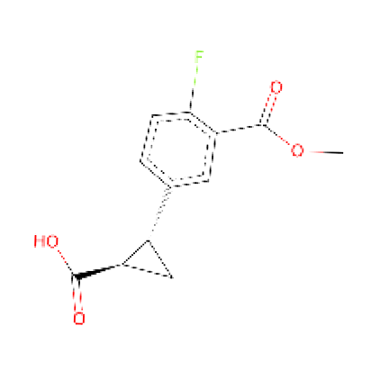 COC(=O)c1cc([C@@H]2C[C@H]2C(=O)O)ccc1F